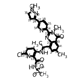 Cc1cc([C@@H](C)Nc2ccc(Cl)nc2C(=O)NS(C)(=O)=O)c2nc(-c3ccc(-c4ccn(C)n4)cn3)n(C)c(=O)c2c1